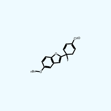 CCCCOc1ccc2oc(C3(F)C=CC(C=O)=CC3)cc2c1